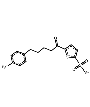 CC(C)S(=O)(=O)c1ccc(C(=O)CCCCc2ccc(C(F)(F)F)cc2)s1